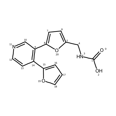 O=C(O)NCc1ccc(-c2cnccc2-c2ccco2)o1